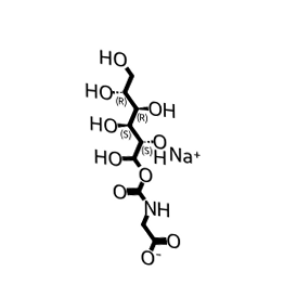 O=C([O-])CNC(=O)OC(O)[C@@H](O)[C@@H](O)[C@H](O)[C@H](O)CO.[Na+]